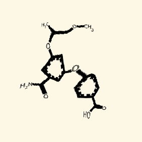 COCC(C)Oc1cc(Oc2ccc(C(=O)O)cc2)cc(C(N)=O)c1